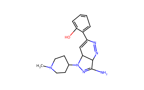 CN1CCC(N2N=C(N)C3N=NC(c4ccccc4O)=CC32)CC1